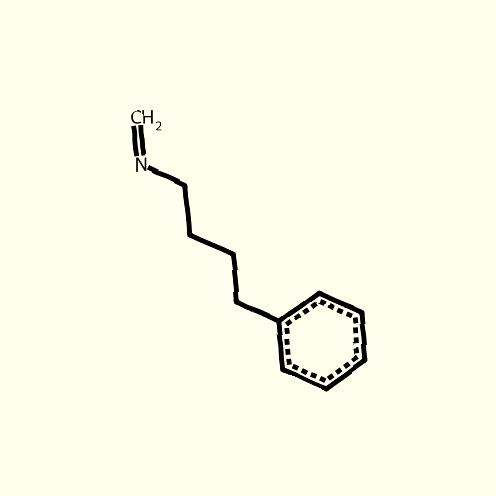 C=NCCCCc1ccccc1